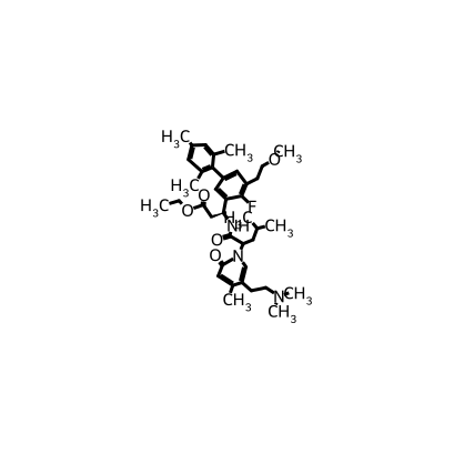 CCOC(=O)C[C@H](NC(=O)C(CC(C)C)n1cc(CCN(C)C)c(C)cc1=O)c1cc(-c2c(C)cc(C)cc2C)cc(CCOC)c1F